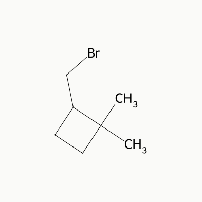 CC1(C)CCC1CBr